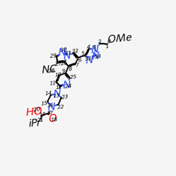 COCCn1cc(-c2cc(-c3ccc(N4CCN(C(=O)C(O)C(C)C)CC4)nc3)c3c(C#N)cnn3c2)nn1